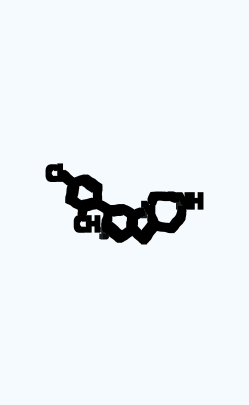 Cc1cc(Cl)ccc1-c1ccc2cc3n(c2c1)CCNCC3